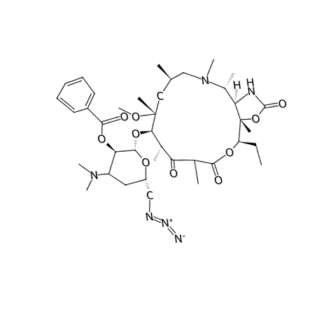 CC[C@H]1OC(=O)C(C)C(=O)[C@H](C)[C@@H](O[C@@H]2O[C@H](CN=[N+]=[N-])CC(N(C)C)[C@H]2OC(=O)c2ccccc2)[C@](C)(OC)C[C@@H](C)CN(C)[C@H](C)[C@H]2NC(=O)O[C@@]21C